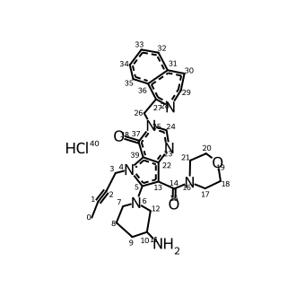 CC#CCn1c(N2CCCC(N)C2)c(C(=O)N2CCOCC2)c2ncn(Cc3nccc4ccccc34)c(=O)c21.Cl